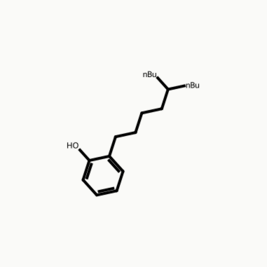 CCCCC(CCCC)CCCCc1ccccc1O